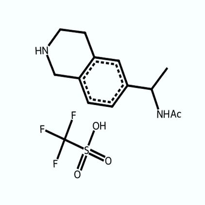 CC(=O)NC(C)c1ccc2c(c1)CCNC2.O=S(=O)(O)C(F)(F)F